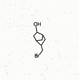 OC1CC2CC1CC2CBr